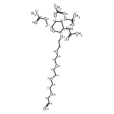 CC(=O)N[C@H]1[C@H](OCCOCCOCCOCCOCC=O)O[C@H](COC(C)=O)[C@H](OC(C)=O)[C@@H]1OC(C)=O